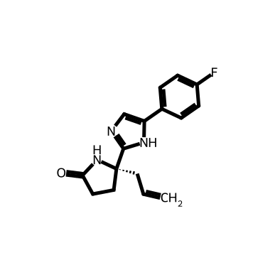 C=CC[C@]1(c2ncc(-c3ccc(F)cc3)[nH]2)CCC(=O)N1